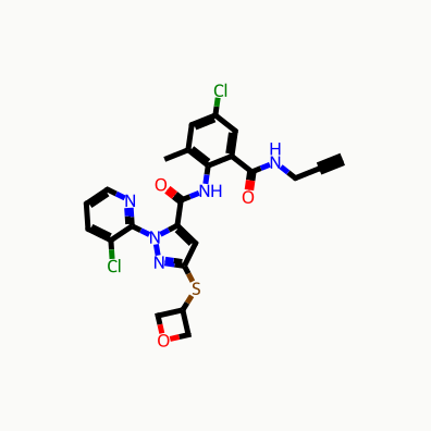 C#CCNC(=O)c1cc(Cl)cc(C)c1NC(=O)c1cc(SC2COC2)nn1-c1ncccc1Cl